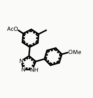 COc1ccc(-c2[nH]nnc2-c2cc(C)cc(OC(C)=O)c2)cc1